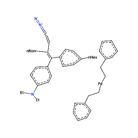 CCCCCCCCCC(C=C=[N+]=[N-])=C(c1ccc(CCCCCC)cc1)c1ccc(N(CC)CC)cc1.c1ccc(C[CH2][Pd][CH2]Cc2ccccc2)cc1